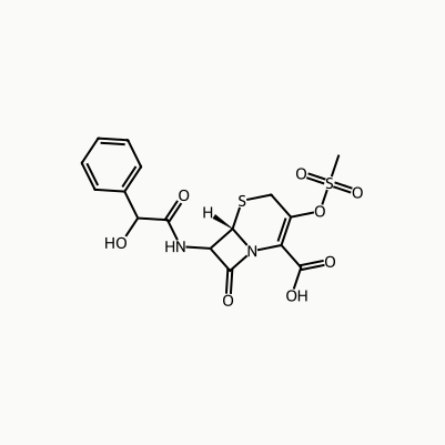 CS(=O)(=O)OC1=C(C(=O)O)N2C(=O)C(NC(=O)C(O)c3ccccc3)[C@@H]2SC1